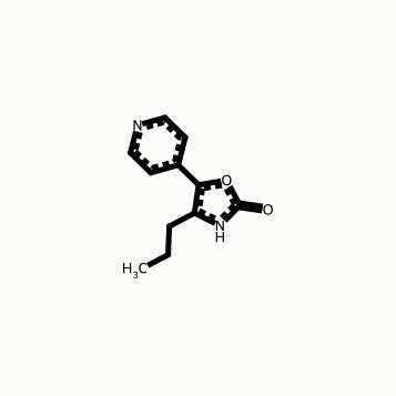 CCCc1[nH]c(=O)oc1-c1ccncc1